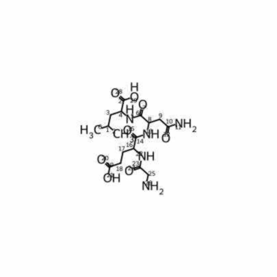 CC(C)CC(NC(=O)C(CC(N)=O)NC(=O)C(CCC(=O)O)NC(=O)CN)C(=O)O